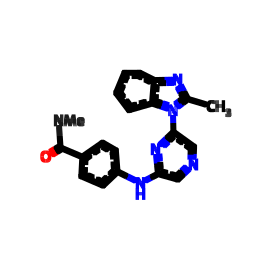 CNC(=O)c1ccc(Nc2cncc(-n3c(C)nc4ccccc43)n2)cc1